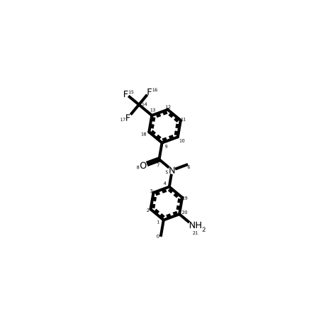 Cc1ccc(N(C)C(=O)c2cccc(C(F)(F)F)c2)cc1N